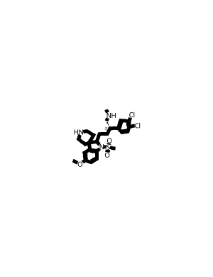 CNC[C@@H](CCC1N(S(C)(=O)=O)c2ccc(OC)cc2C12CCNCC2)c1ccc(Cl)c(Cl)c1